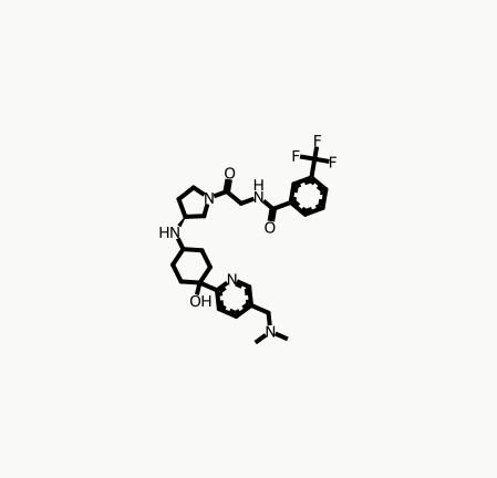 CN(C)Cc1ccc(C2(O)CCC(N[C@H]3CCN(C(=O)CNC(=O)c4cccc(C(F)(F)F)c4)C3)CC2)nc1